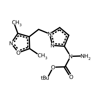 Cc1noc(C)c1Cn1ccc(N(N)C(=O)OC(C)(C)C)n1